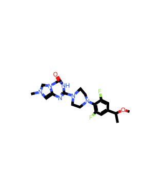 COC(C)c1cc(F)c(N2CCN(C3=NC4=CN(C)CN4C(=O)N3)CC2)c(F)c1